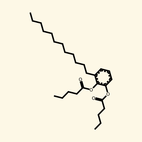 CCCCCCCCCCCCc1cccc(OC(=O)CCCC)c1OC(=O)CCCC